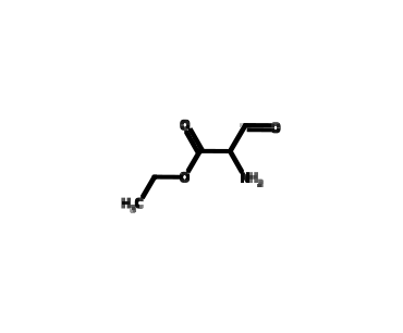 CCOC(=O)C(N)[C]=O